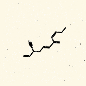 C=CC(C#N)C/C=C/C(=C)/C=C\CC